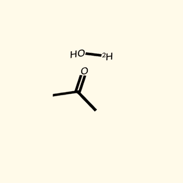 CC(C)=O.[2H]O